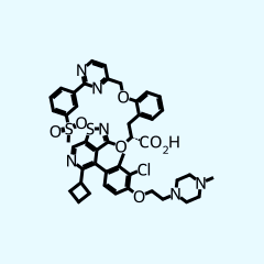 Cc1c(-c2c(C3CCC3)ncc3snc(O[C@H](Cc4ccccc4OCc4ccnc(-c5cccc(S(C)(=O)=O)c5)n4)C(=O)O)c23)ccc(OCCN2CCN(C)CC2)c1Cl